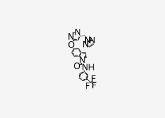 O=C(Nc1cccc(C(F)(F)F)c1)n1ccc2cc(Oc3cc(Cn4nccn4)ncn3)ccc21